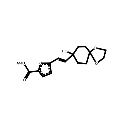 COC(=O)c1ccc(/C=C/C2(O)CCC3(CC2)OCCO3)o1